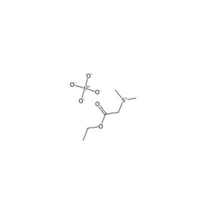 CCOC(=O)C[S+](C)C.[O-][I+3]([O-])([O-])[O-]